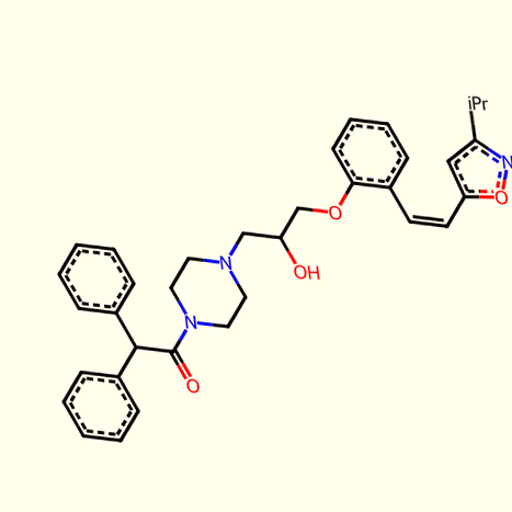 CC(C)c1cc(/C=C\c2ccccc2OCC(O)CN2CCN(C(=O)C(c3ccccc3)c3ccccc3)CC2)on1